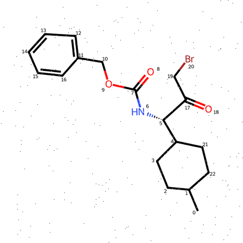 CC1CCC([C@H](NC(=O)OCc2ccccc2)C(=O)CBr)CC1